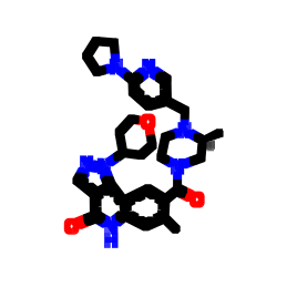 Cc1cc2[nH]c(=O)c3cnn(C4CCOCC4)c3c2cc1C(=O)N1CCN(Cc2ccc(N3CCCC3)nc2)[C@@H](C)C1